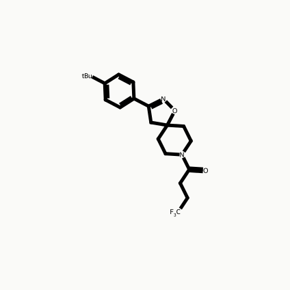 CC(C)(C)c1ccc(C2=NOC3(CCN(C(=O)CCC(F)(F)F)CC3)C2)cc1